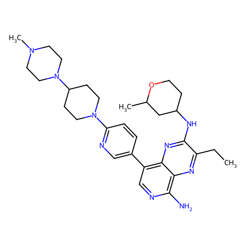 CCc1nc2c(N)ncc(-c3ccc(N4CCC(N5CCN(C)CC5)CC4)nc3)c2nc1NC1CCOC(C)C1